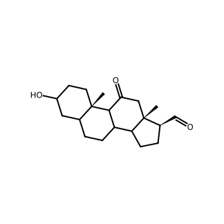 C[C@]12CCC(O)CC1CCC1C2C(=O)C[C@@]2(C)C1CC[C@@H]2C=O